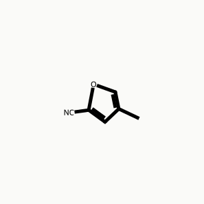 Cc1coc(C#N)c1